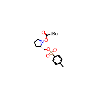 Cc1ccc(S(=O)(=O)OC[C@@H]2CCCN2OC(=O)C(C)(C)C)cc1